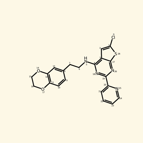 Clc1cc2c(NCCc3ccc4c(c3)OCCO4)nc(-c3ccccn3)nc2s1